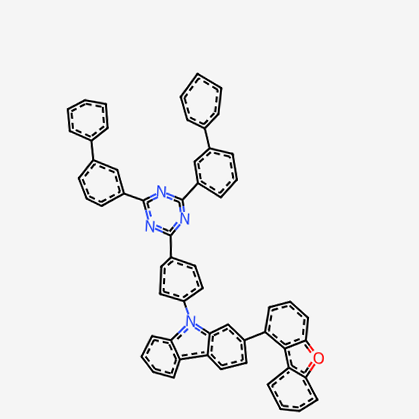 c1ccc(-c2cccc(-c3nc(-c4ccc(-n5c6ccccc6c6ccc(-c7cccc8oc9ccccc9c78)cc65)cc4)nc(-c4cccc(-c5ccccc5)c4)n3)c2)cc1